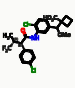 COC(c1ccc(Cl)c(NC(=O)[C@H](c2ccc(Cl)cc2)[C@@H](C)C(F)(F)F)c1)C1(C(=O)O)CCC1